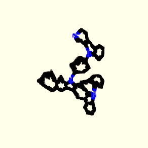 c1ccc2cc3c(cc2c1)c1cc2c4ccccc4n4c5ccccc5c(c1n3-c1ccc(-n3c5ccccc5c5ccncc53)cc1)c24